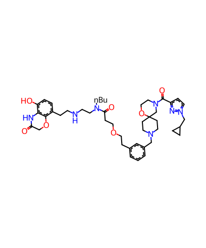 CCCCN(CCNCCc1ccc(O)c2c1OCC(=O)N2)C(=O)CCOCCc1cccc(CN2CCC3(CC2)CN(C(=O)c2ccn(CC4CC4)n2)CCO3)c1